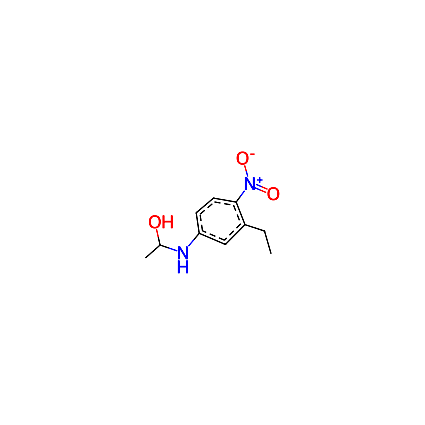 CCc1cc(NC(C)O)ccc1[N+](=O)[O-]